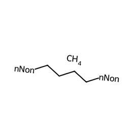 C.CCCCCCCCCCCCCCCCCCCCCC